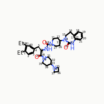 CCc1ccc(C[C@@H](NC(=O)N2CCC(N3CCc4ccccc4NC3=O)CC2)C(=O)N2CCC(N3CCC3)CC2)cc1CC